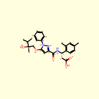 Cc1ccc([C@H](CC(=O)O)NC(=O)c2cc(OC[C@](C)(O)C(C)C)n(-c3ccccc3)n2)c(C)c1